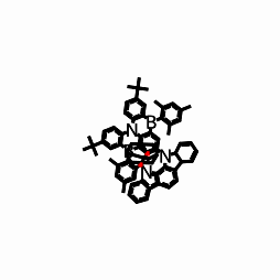 Cc1cc(C)c(B2c3cc(C(C)(C)C)ccc3N3c4ccc(C(C)(C)C)cc4B(c4c(C)cc(C)cc4C)c4cc(N5c6c(ccc7c8ccccc8n(C89CC%10CC(CC(C%10)C8)C9)c67)C6C=CC=CC65)cc2c43)c(C)c1